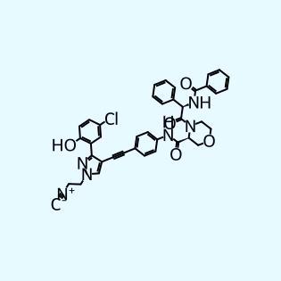 [C-]#[N+]CCn1cc(C#Cc2ccc(NC(=O)[C@@H]3COCCN3C(=O)[C@H](NC(=O)c3ccccc3)c3ccccc3)cc2)c(-c2cc(Cl)ccc2O)n1